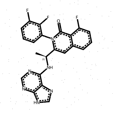 C[C@H](Nc1ncnc2[nH]cnc12)c1cc2cccc(F)c2c(=O)n1-c1cccc(F)c1F